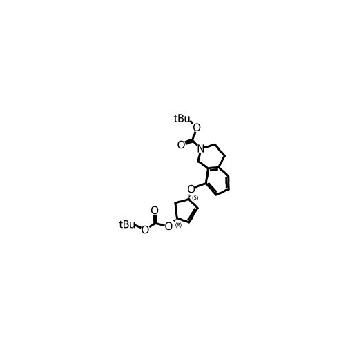 CC(C)(C)OC(=O)O[C@H]1C=C[C@@H](Oc2cccc3c2CN(C(=O)OC(C)(C)C)CC3)C1